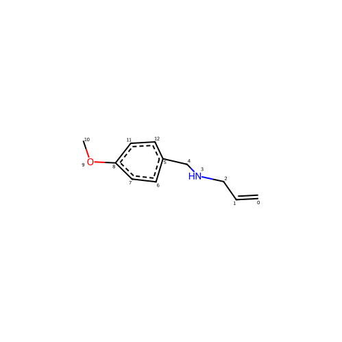 C=CCNCc1ccc(OC)cc1